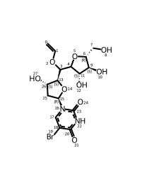 C=COC(C1O[C@H](CO)[C@@H](O)[C@@H]1O)[C@H]1O[C@@H](n2cc(Br)c(=O)[nH]c2=O)C[C@@H]1O